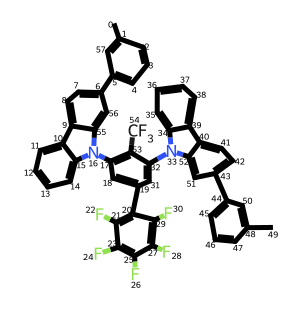 Cc1cccc(-c2ccc3c4ccccc4n(-c4cc(-c5c(F)c(F)c(F)c(F)c5F)cc(-n5c6ccccc6c6ccc(-c7cccc(C)c7)cc65)c4C(F)(F)F)c3c2)c1